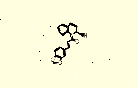 N#CC1C=Cc2ccccc2N1C(=O)/C=C/c1ccc2c(c1)OCO2